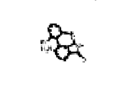 CC(C)c1cccc(C(C)C)c1-c1c(N)ccc2c1C(=O)NC2=O